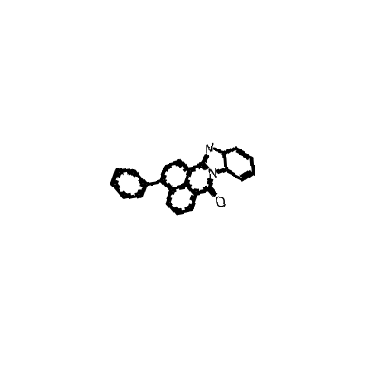 O=c1c2cccc3c(-c4ccccc4)ccc(c4n1C1C=CC=CC1N=4)c32